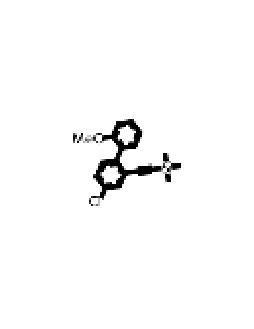 COc1ccccc1-c1ccc(Cl)cc1C#C[Si](C)(C)C